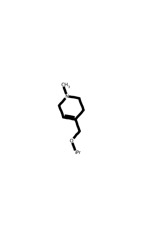 CC(C)OCC1=CCN(C)CC1